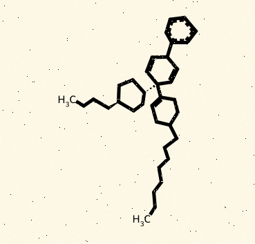 CCCCCCCCC1CC=C(C2([C@H]3CC[C@H](CCCC)CC3)C=CC(c3ccccc3)C=C2)CC1